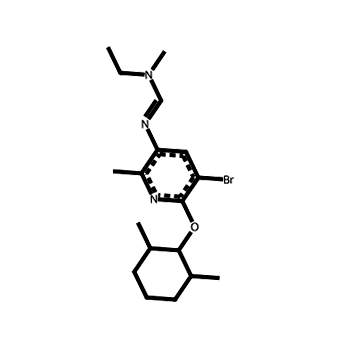 CCN(C)/C=N/c1cc(Br)c(OC2C(C)CCCC2C)nc1C